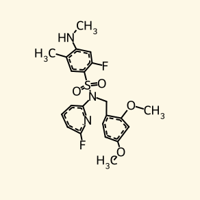 CNc1cc(F)c(S(=O)(=O)N(Cc2ccc(OC)cc2OC)c2cccc(F)n2)cc1C